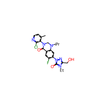 CCn1c(CO)nn(-c2cc3c(cc2F)C(=O)N(c2c(C)ccnc2Cl)CN3C(C)C)c1=O